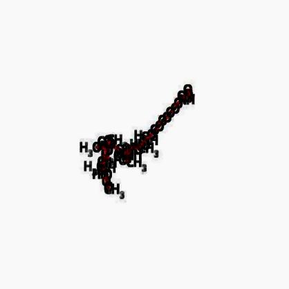 COCCOCCC(=O)NCC(=O)N[C@@H](C)C(=O)Nc1ccc(COC(=O)N2CC3CC(C)=CN3C(=O)c3cc(OC)c(OCCCCCOc4cc5c(cc4OC)C(=O)N4C=C(C)C[C@H]4[C@H](O)N5C(=O)OCc4ccc(NC(=O)[C@H](C)NC(=O)CNC(=O)CCOCCOCCOCCOCCOCCOCCOCCOCCNC(=O)CCN5C(=O)C=CC5=O)cc4)cc32)cc1